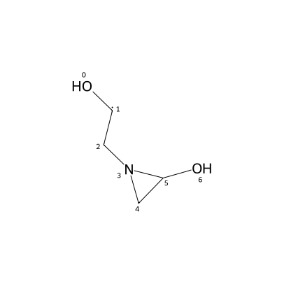 O[CH]CN1CC1O